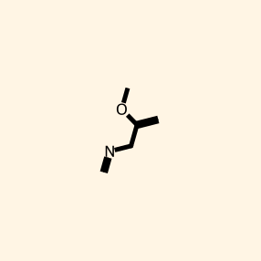 C=NCC(=C)OC